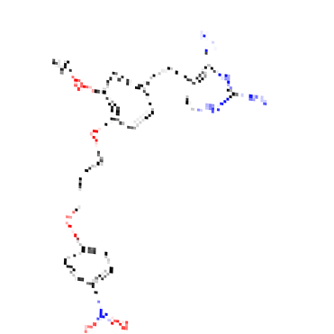 COc1cc(Cc2cnc(N)nc2N)ccc1OCCCOc1ccc([N+](=O)[O-])cc1